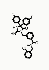 CN(Cc1ccccc1Cl)C(=O)c1cccc(CN2C(=N)NC(c3ccc(F)cc3)(c3ccc(F)cc3)C2=O)c1